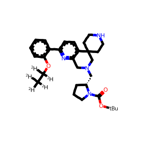 [2H]C([2H])([2H])C([2H])([2H])Oc1ccccc1-c1ccc2c(n1)CN(C[C@H]1CCCN1C(=O)OC(C)(C)C)CC21CCNCC1